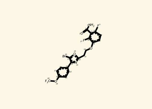 NC(=O)c1c(F)ccc(OCCc2nc(-c3ccc(OC(F)(F)F)cc3)c(Br)o2)c1F